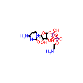 NCCOP(=O)(O)OP(=O)(O)O[C@H]1O[C@@H](n2ccc(N)nc2=O)[C@H](O)[C@@H]1O